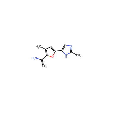 C=C(N)c1oc(-c2cnc(C)[nH]2)cc1C